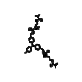 C=C(C)C(=O)OCCNC(=O)OCc1ccc(N(c2ccc(C)cc2)c2ccc(COC(=O)NCCOC(=O)C(=C)C)cc2)cc1